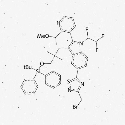 COC(C)c1ncccc1-c1c(CC(C)(C)CO[Si](c2ccccc2)(c2ccccc2)C(C)(C)C)c2cc(-c3nc(CBr)ns3)ccc2n1C(F)C(F)F